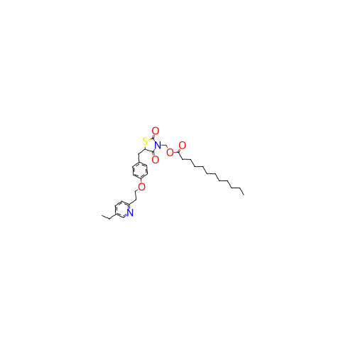 CCCCCCCCCCCC(=O)OCN1C(=O)SC(Cc2ccc(OCCc3ccc(CC)cn3)cc2)C1=O